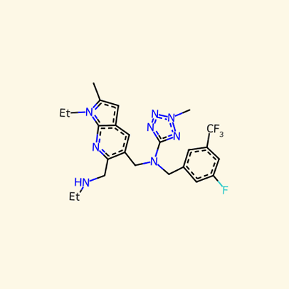 CCNCc1nc2c(cc1CN(Cc1cc(F)cc(C(F)(F)F)c1)c1nnn(C)n1)cc(C)n2CC